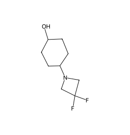 OC1CCC(N2CC(F)(F)C2)CC1